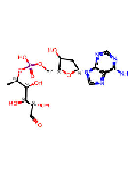 C[C@@H](OP(=O)(O)OC[C@H]1O[C@@H](n2cnc3c(N)ncnc32)CC1O)[C@@H](O)[C@H](O)[C@H](O)C=O